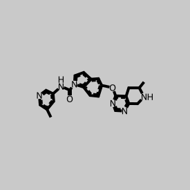 Cc1cncc(NC(=O)n2ccc3cc(Oc4ncnc5c4CC(C)NC5)ccc32)c1